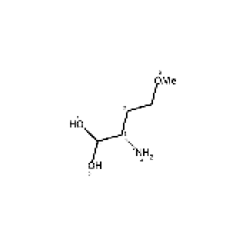 COCC[C@H](N)C(O)O